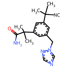 [C-]#[N+]C(C)(C)c1cc(Cn2cncn2)cc(C(C)(C)C(N)=O)c1